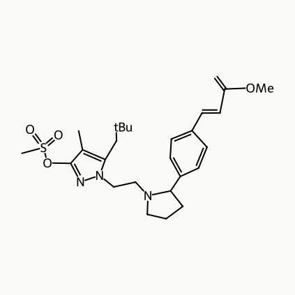 C=C(C=Cc1ccc(C2CCCN2CCn2nc(OS(C)(=O)=O)c(C)c2CC(C)(C)C)cc1)OC